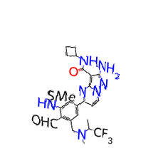 CSNc1cc(-c2ccn3nc(N)c(C(=O)NC4CCC4)c3n2)cc(CN(C)C(C)C(F)(F)F)c1C=O